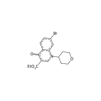 CCOC(=O)c1cn(C2CCOCC2)c2cc(Br)ccc2c1=O